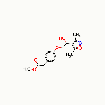 COC(=O)Cc1ccc(OCC(O)c2c(C)noc2C)cc1